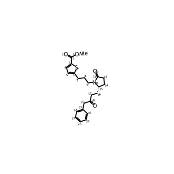 COC(=O)c1ccc(CCCN2C(=O)CC[C@@H]2CCC(=O)Cc2ccccc2)s1